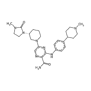 CN1CCC(c2ccc(Nc3nc(N4CCC[C@@H](N5CCN(C)C5=O)C4)cnc3C(N)=O)cc2)CC1